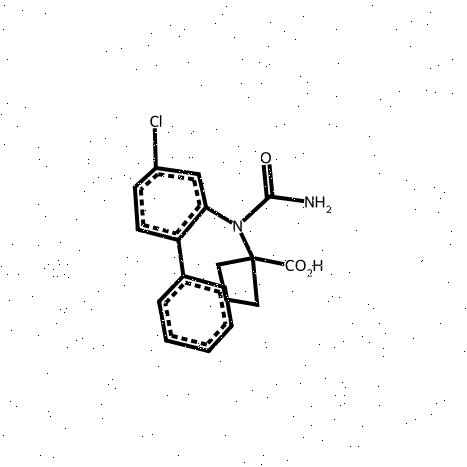 NC(=O)N(c1cc(Cl)ccc1-c1ccccc1)C1(C(=O)O)CCC1